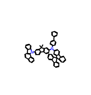 CC1(C)c2cc(N(c3ccc(-c4ccccc4)cc3)c3ccc4c(c3)C3(c5ccccc5-c5ccccc53)c3ccccc3-4)ccc2-c2ccc(-n3c4ccccc4c4ccc5ccccc5c43)cc21